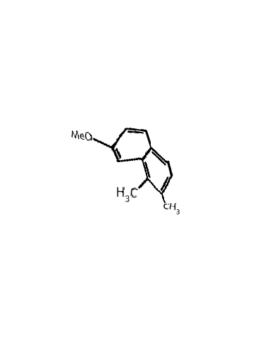 COc1ccc2ccc(C)c(C)c2c1